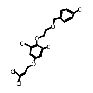 ClC(Cl)=CCOc1cc(Cl)c(OCCOCc2ccc(Cl)cc2)c(Cl)c1